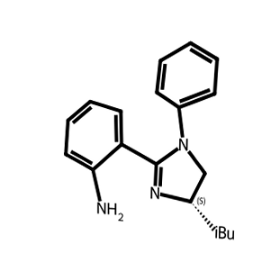 CCC(C)[C@H]1CN(c2ccccc2)C(c2ccccc2N)=N1